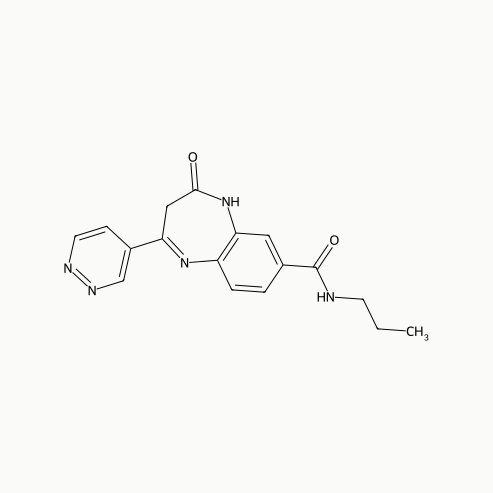 CCCNC(=O)c1ccc2c(c1)NC(=O)CC(c1ccnnc1)=N2